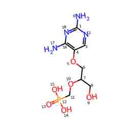 Nc1ncc(OCC(CO)OCP(=O)(O)O)c(N)n1